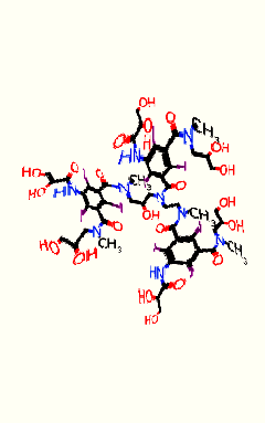 CN(CCN(CC(O)CN(C)C(=O)c1c(I)c(NC(=O)C(O)CO)c(I)c(C(=O)N(C)CC(O)CO)c1I)C(=O)c1c(I)c(NC(=O)C(O)CO)c(I)c(C(=O)N(C)CC(O)CO)c1I)C(=O)c1c(I)c(NC(=O)C(O)CO)c(I)c(C(=O)N(C)CC(O)CO)c1I